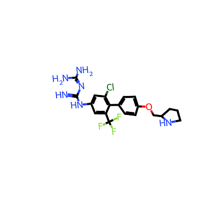 N=C(N=C(N)N)Nc1cc(Cl)c(-c2ccc(OCC3CCCN3)cc2)c(C(F)(F)F)c1